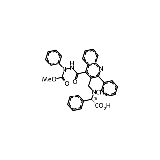 COC(=O)N(NC(=O)c1c(CN(C)[C@H](C(=O)O)c2ccccc2)c(-c2ccccc2)nc2ccccc12)c1ccccc1